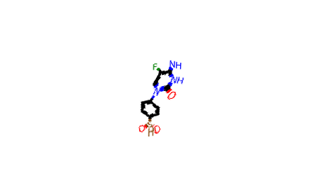 N=c1[nH]c(=O)n(-c2ccc([SH](=O)=O)cc2)cc1F